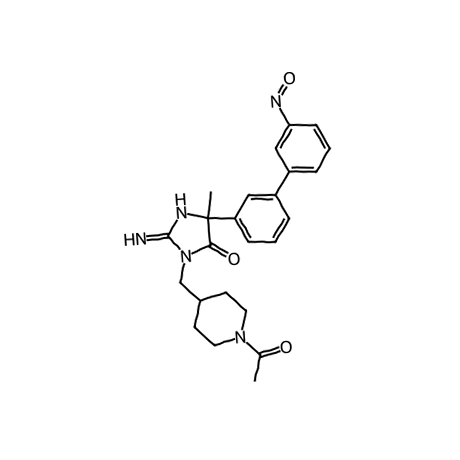 CC(=O)N1CCC(CN2C(=N)NC(C)(c3cccc(-c4cccc(N=O)c4)c3)C2=O)CC1